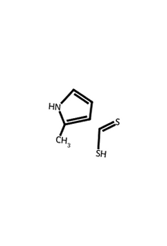 Cc1ccc[nH]1.S=CS